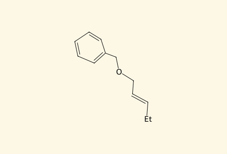 CC/C=C/COCc1ccccc1